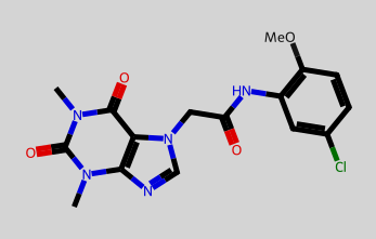 COc1ccc(Cl)cc1NC(=O)Cn1cnc2c1c(=O)n(C)c(=O)n2C